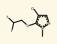 Cn1n[c]c(Cl)c1OCC(F)F